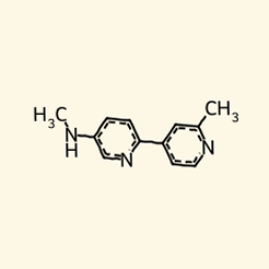 CNc1ccc(-c2ccnc(C)c2)nc1